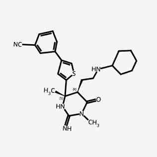 CN1C(=N)N[C@](C)(c2cc(-c3cccc(C#N)c3)cs2)[C@@H](CCNC2CCCCC2)C1=O